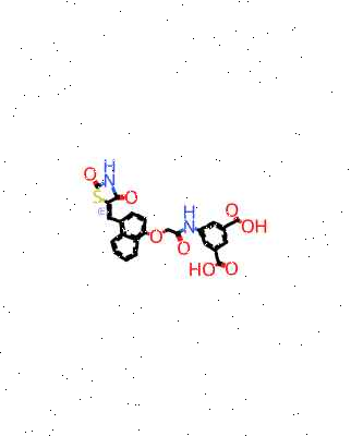 O=C(COc1ccc(/C=C2/SC(=O)NC2=O)c2ccccc12)Nc1cc(C(=O)O)cc(C(=O)O)c1